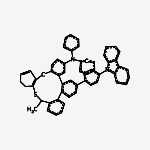 CC1SC2=C(C=CCC2)Cc2ccc(N(c3ccccc3)c3ccccc3)cc2-c2cc(-c3ccc(-n4c5ccccc5c5ccccc54)cc3)ccc2-c2ccccc21